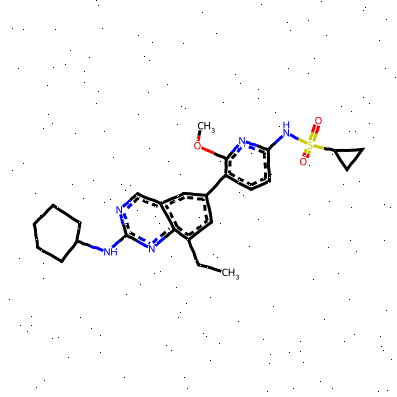 CCc1cc(-c2ccc(NS(=O)(=O)C3CC3)nc2OC)cc2cnc(NC3CCCCC3)nc12